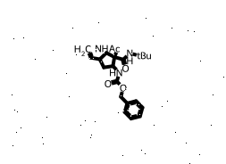 C=CC1CC(NC(=O)OCc2ccccc2)C(NC(C)=O)(C(=O)NC(C)(C)C)C1